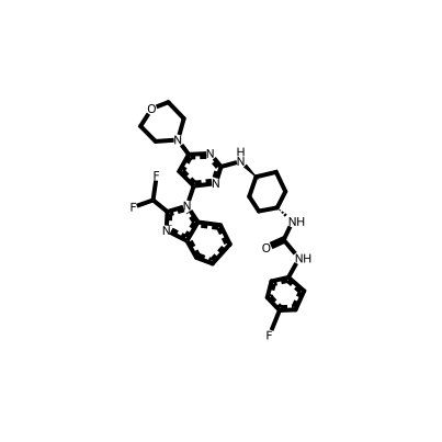 O=C(Nc1ccc(F)cc1)N[C@H]1CC[C@H](Nc2nc(N3CCOCC3)cc(-n3c(C(F)F)nc4ccccc43)n2)CC1